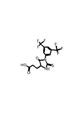 O=C(O)CCC1NC(=S)N(c2cc(C(F)(F)F)cc(C(F)(F)F)c2)C1=O